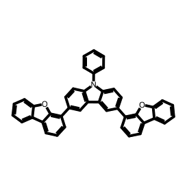 c1ccc(-n2c3ccc(-c4cccc5c4oc4ccccc45)cc3c3cc(-c4cccc5c4oc4ccccc45)ccc32)cc1